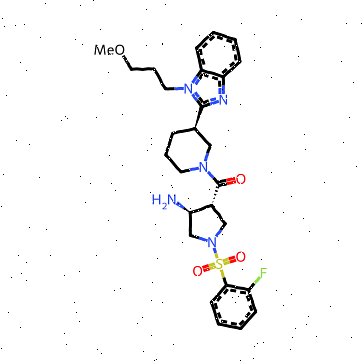 COCCCn1c([C@@H]2CCCN(C(=O)[C@@H]3CN(S(=O)(=O)c4ccccc4F)C[C@H]3N)C2)nc2ccccc21